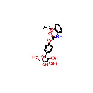 COc1ccccc1NC(=O)COc1ccc(C2O[C@H](CO)[C@@H](O)[C@H](O)[C@@H]2O)cc1